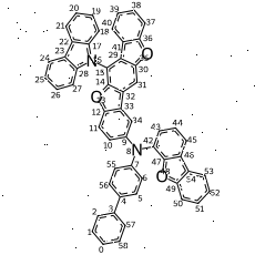 c1ccc(-c2ccc(N(c3ccc4oc5c(-n6c7ccccc7c7ccccc76)c6c(cc5c4c3)oc3ccccc36)c3cccc4c3oc3ccccc34)cc2)cc1